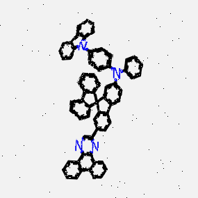 c1ccc(N(c2ccc(-n3c4ccccc4c4ccccc43)cc2)c2ccc3c(c2)C2(c4ccccc4-c4ccccc42)c2cc(-c4cnc5c6ccccc6c6ccccc6c5n4)ccc2-3)cc1